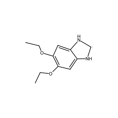 CCOc1cc2c(cc1OCC)N[CH]N2